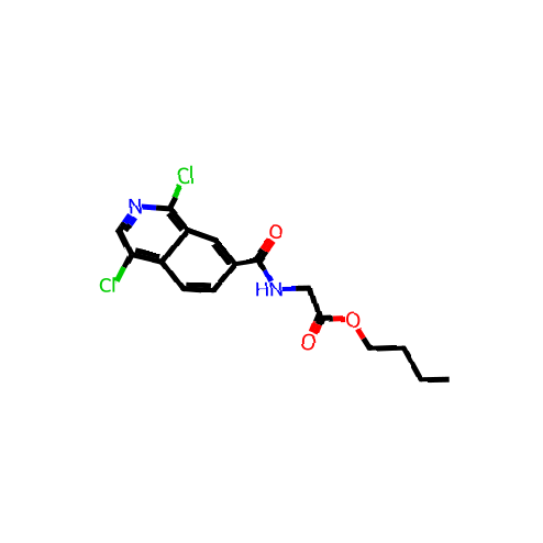 CCCCOC(=O)CNC(=O)c1ccc2c(Cl)cnc(Cl)c2c1